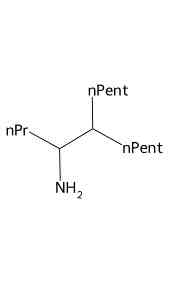 CCCCCC(CCCCC)C(N)CCC